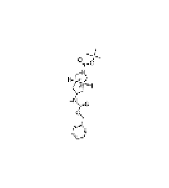 CN(C(=O)OCc1ccccc1)C1C[C@@H]2CN(C(=O)OC(C)(C)C)C[C@@H]2C1